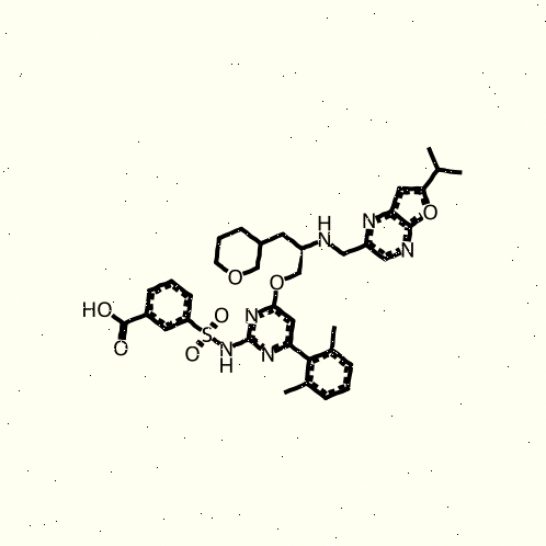 Cc1cccc(C)c1-c1cc(OC[C@@H](CC2CCCOC2)NCc2cnc3oc(C(C)C)cc3n2)nc(NS(=O)(=O)c2cccc(C(=O)O)c2)n1